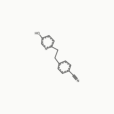 N#Cc1ccc(CCc2ccc(O)cn2)cc1